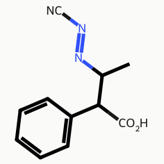 CC(N=NC#N)C(C(=O)O)c1ccccc1